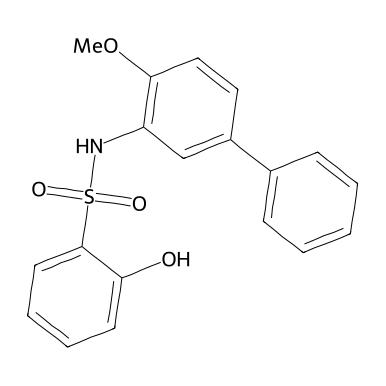 COc1ccc(-c2ccccc2)cc1NS(=O)(=O)c1ccccc1O